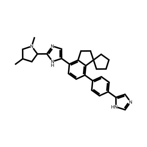 CC1CC(c2ncc(-c3ccc(-c4ccc(-c5cnc[nH]5)cc4)c4c3CCC43CCCC3)[nH]2)N(C)C1